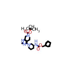 CC(C)(C)OC(=O)N1CCc2c(ncnc2N2CCC[C@@H](NC(=O)OCc3ccccc3)C2)C1